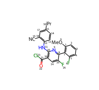 COc1cccc(F)c1-c1nc(Nc2ccc(C(C)C)cc2C#N)c(C(=O)Cl)cc1F